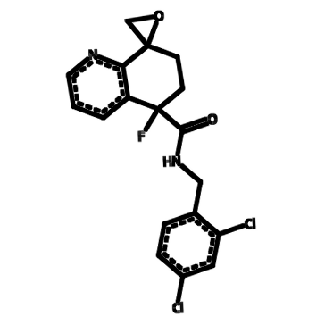 O=C(NCc1ccc(Cl)cc1Cl)C1(F)CCC2(CO2)c2ncccc21